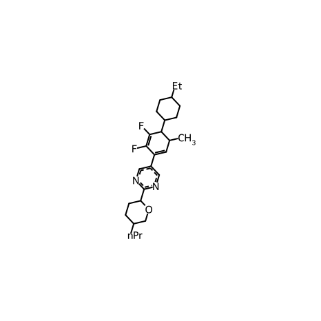 CCCC1CCC(c2ncc(C3=CC(C)C(C4CCC(CC)CC4)C(F)=C3F)cn2)OC1